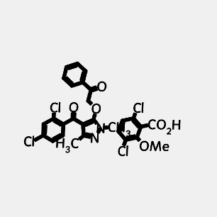 COc1c(Cl)ccc(Cl)c1C(=O)O.Cc1nn(C)c(OCC(=O)c2ccccc2)c1C(=O)c1ccc(Cl)cc1Cl